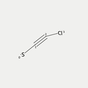 [S]C#CCl